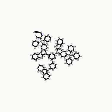 C#C/C=C\C(=C/C)S(c1ccccc1)(c1ccccc1)c1ccc2c(c1)n1c3ccccc3nc1n2-c1nc(-c2cccc(-n3c4ccccc4c4ccccc43)c2)nc(-n2c3ccc(S(c4ccccc4)(c4ccccc4)c4ccccc4)cc3n3c4ccccc4nc23)n1